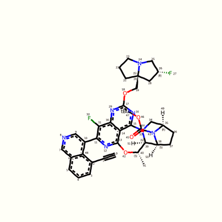 C#Cc1cccc2cncc(-c3nc4c5c(nc(OC[C@@]67CCCN6C[C@H](F)C7)nc5c3F)N3C[C@H]5CC[C@@H]([C@H]3[C@H](C)O4)N5C(=O)OC(C)(C)C)c12